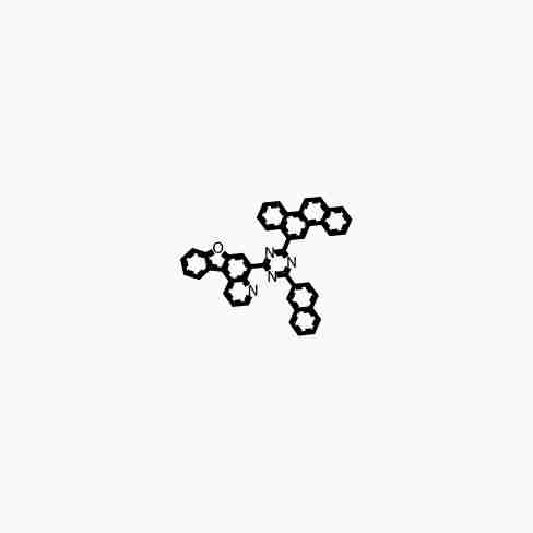 c1ccc2cc(-c3nc(-c4cc5c6ccccc6ccc5c5ccccc45)nc(-c4cc5oc6ccccc6c5c5cccnc45)n3)ccc2c1